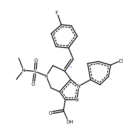 CN(C)S(=O)(=O)N1C/C(=C\c2ccc(F)cc2)c2c(c(C(=O)O)nn2-c2ccc(Cl)cc2)C1